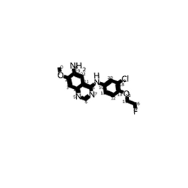 COc1cc2ncnc(Nc3ccc(OCCF)c(Cl)c3)c2cc1N